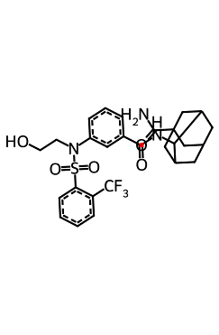 NC(=O)C12CC3CC(C1)C(NC(=O)c1cccc(N(CCO)S(=O)(=O)c4ccccc4C(F)(F)F)c1)C(C3)C2